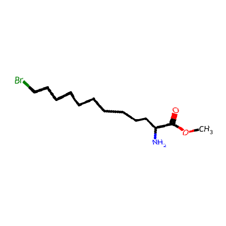 COC(=O)C(N)CCCCCCCCCCBr